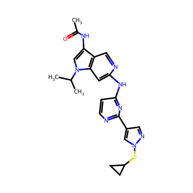 CC(=O)Nc1cn(C(C)C)c2cc(Nc3ccnc(-c4cnn(SC5CC5)c4)n3)ncc12